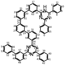 c1ccc(C2=NC(c3ccccc3)NC(c3cccc(-c4cccc(-c5cccc(-c6cccc(-c7nc(-c8ccccc8)nc(-c8cccc(-c9ccccc9)c8)n7)c6)c5)c4)c3)=N2)cc1